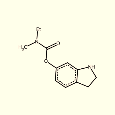 CCN(C)C(=O)Oc1ccc2c(c1)NCC2